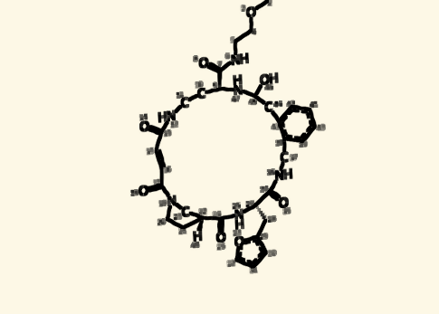 NCCOCCNC(=O)[C@@H]1CCNC(=O)/C=C/C(=O)N2CC[C@H](C2)C(=O)N[C@@H](Cc2ccco2)C(=O)NCc2ccccc2CC(O)N1